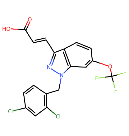 O=C(O)/C=C/c1nn(Cc2ccc(Cl)cc2Cl)c2cc(OC(F)(F)F)ccc12